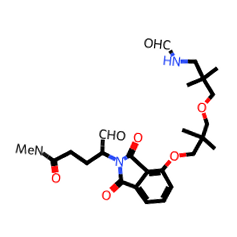 CNC(=O)CCC(C=O)N1C(=O)c2cccc(OCC(C)(C)COCC(C)(C)CNC=O)c2C1=O